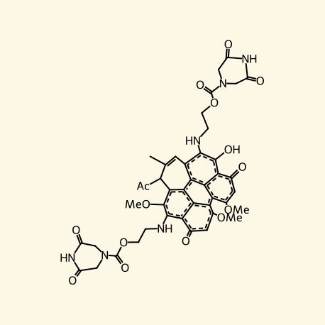 COc1c(NCCOC(=O)N2CC(=O)NC(=O)C2)c2c(=O)cc(OC)c3c4c(OC)cc(=O)c5c(O)c(NCCOC(=O)N6CC(=O)NC(=O)C6)c6c(c(c1C(C(C)=O)C(C)=C6)c23)c54